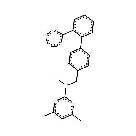 CCCCN(Cc1ccc(-c2ccccc2-c2nnn[nH]2)cc1)c1nc(C)cc(C)n1